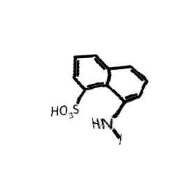 O=S(=O)(O)c1cccc2cccc(NI)c12